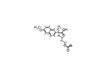 COc1ccc2cc([C@](C)(CCCCO[N+](=O)[O-])C(=O)O)ccc2c1